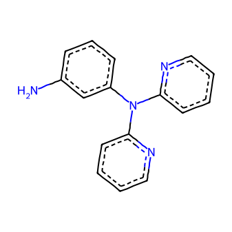 Nc1cccc(N(c2ccccn2)c2ccccn2)c1